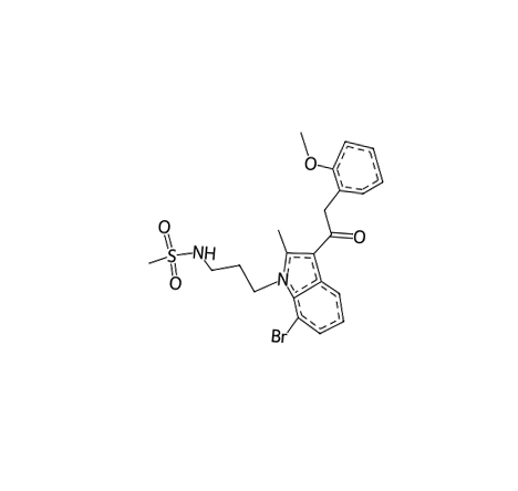 COc1ccccc1CC(=O)c1c(C)n(CCCNS(C)(=O)=O)c2c(Br)cccc12